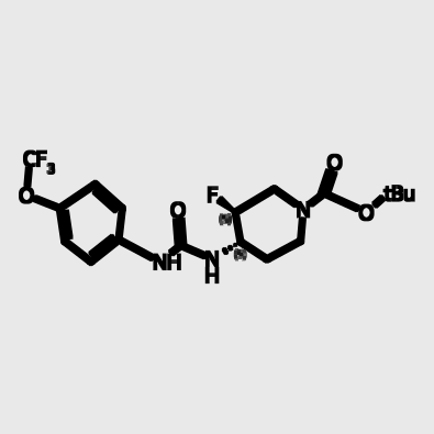 CC(C)(C)OC(=O)N1CC[C@H](NC(=O)Nc2ccc(OC(F)(F)F)cc2)[C@@H](F)C1